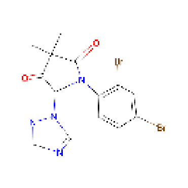 CC1(C)C(=O)C(n2cncn2)N(c2ccc(Br)cc2Br)C1=O